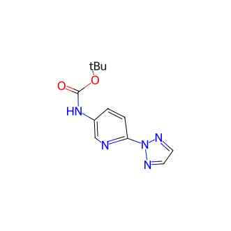 CC(C)(C)OC(=O)Nc1ccc(-n2nccn2)nc1